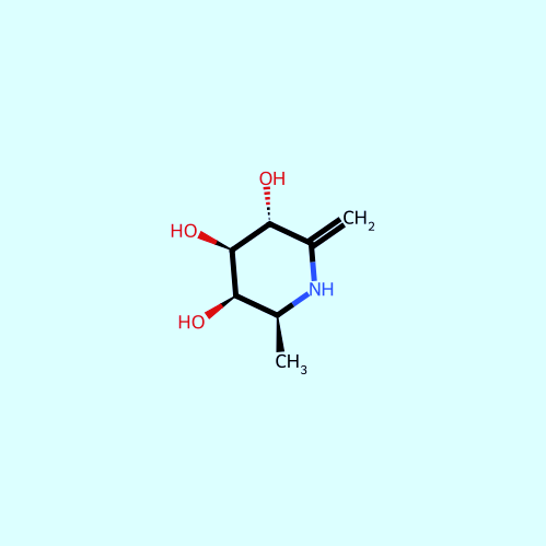 C=C1N[C@@H](C)[C@@H](O)[C@@H](O)[C@@H]1O